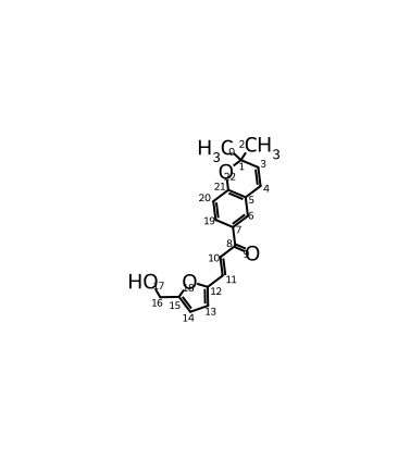 CC1(C)C=Cc2cc(C(=O)/C=C/c3ccc(CO)o3)ccc2O1